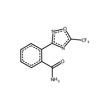 NC(=O)c1ccccc1-c1noc(C(F)(F)F)n1